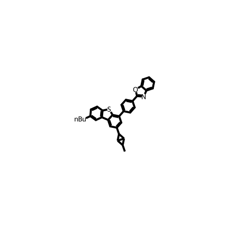 CCCCc1ccc2sc3c(-c4ccc(-c5nc6ccccc6o5)cc4)cc(C4C5C(C)C45)cc3c2c1